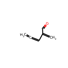 C=C=CC(=C)[C]=O